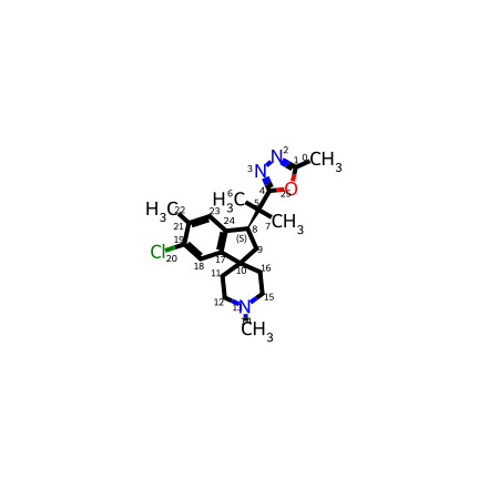 Cc1nnc(C(C)(C)[C@H]2CC3(CCN(C)CC3)c3cc(Cl)c(C)cc32)o1